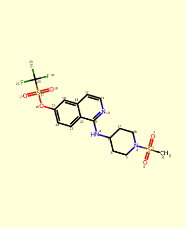 CS(=O)(=O)N1CCC(Nc2nccc3cc(OS(=O)(=O)C(F)(F)F)ccc23)CC1